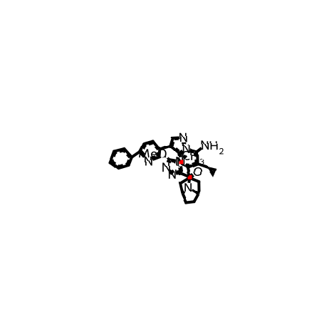 COc1nnc(C(=O)N2C3CCC2CC(c2nc4c(-c5ccc(-c6ccccc6)nc5)cnn4c(N)c2C2CC2)C3)n1C